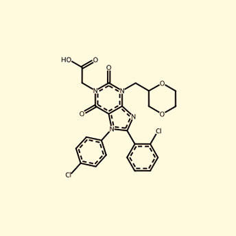 O=C(O)Cn1c(=O)c2c(nc(-c3ccccc3Cl)n2-c2ccc(Cl)cc2)n(CC2COCCO2)c1=O